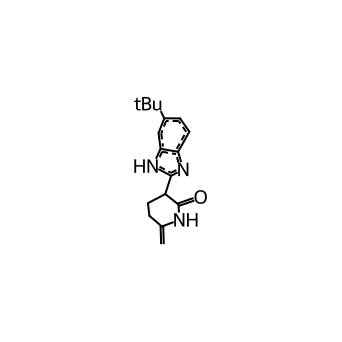 C=C1CCC(c2nc3ccc(C(C)(C)C)cc3[nH]2)C(=O)N1